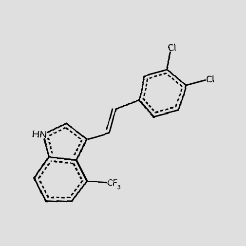 FC(F)(F)c1cccc2[nH]cc(C=Cc3ccc(Cl)c(Cl)c3)c12